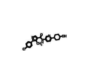 Cc1c(C(=O)Nc2ccc(C3CCC(O)CC3)nc2)cnn1-c1ccc(Cl)cc1